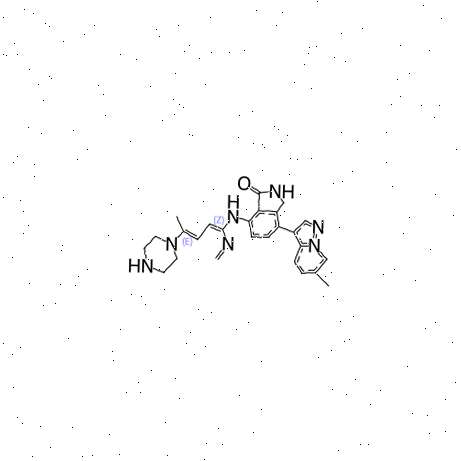 C=N/C(=C\C=C(/C)N1CCNCC1)Nc1ccc(-c2cnn3cc(C)ccc23)c2c1C(=O)NC2